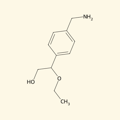 CCOC(CO)c1ccc(CN)cc1